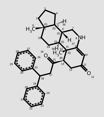 C[C@@]12CCC[C@H]1[C@@H]1CNC3=CC(=O)C[C@@H](C(=O)CC(c4ccccc4)c4ccccc4)[C@]3(C)[C@H]1CC2